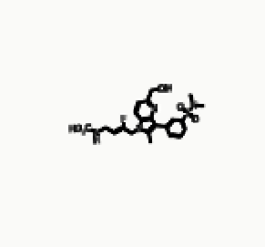 Cc1c(-c2cccc(S(=O)(=O)N(C)C)c2)c2nc(CO)ccc2n1CC(F)=CCNC(=O)O